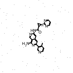 Cc1ccncc1-c1cc2cc(NC(=O)C3C[C@H]3c3ncccn3)ncc2c(N)n1